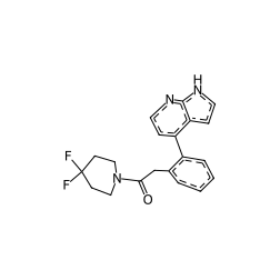 O=C(Cc1ccccc1-c1ccnc2[nH]ccc12)N1CCC(F)(F)CC1